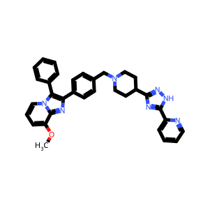 COc1cccn2c(-c3ccccc3)c(-c3ccc(CN4CCC(c5n[nH]c(-c6ccccn6)n5)CC4)cc3)nc12